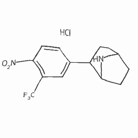 Cl.O=[N+]([O-])c1ccc(C2CC3CCC2N3)cc1C(F)(F)F